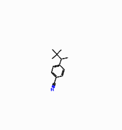 CC(c1ccc(C#N)cc1)C(C)(C)C